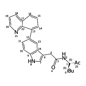 CC[C@H](C)[C@H](NC(=O)Cc1c[nH]c2ccc(-c3cccc4cccnc34)cc12)C(C)=O